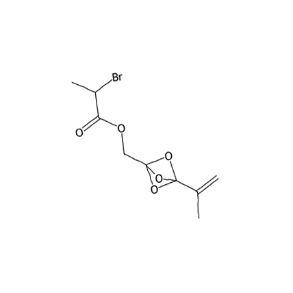 C=C(C)C12OC(COC(=O)C(C)Br)(O1)O2